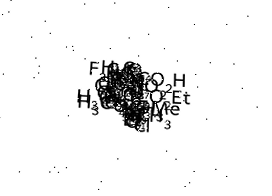 CC1(C)OC(c2ccco2)CN1C(=O)C(Cl)Cl.CCOC(=O)C(C)OC(=O)c1cc(Oc2ccc(C(F)(F)F)cc2Cl)ccc1[N+](=O)[O-].CCc1cccc(C)c1N(C(=O)CCl)C(C)COC.CP(=O)(O)CCC(N)C(=O)O